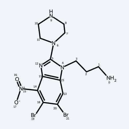 NCCCn1c(N2CCNCC2)nc2c([N+](=O)[O-])c(Br)c(Br)cc21